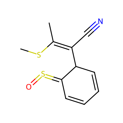 CSC(C)=C(C#N)C1C=CC=CC1=S=O